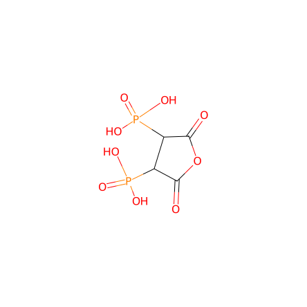 O=C1OC(=O)C(P(=O)(O)O)C1P(=O)(O)O